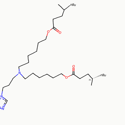 CCCCC(C)CCC(=O)OCCCCCCN(CCCCCCOC(=O)CC[C@@H](C)CCCC)CCCn1ccnc1